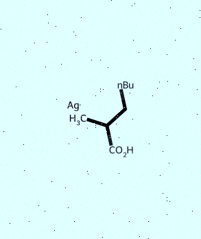 CCCCCC(C)C(=O)O.[Ag]